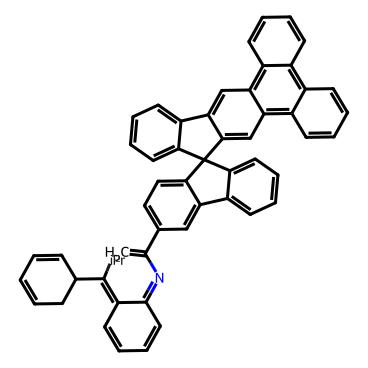 C=C(/N=C1/C=CC=C/C1=C(/C(C)C)C1C=CC=CC1)c1ccc2c(c1)-c1ccccc1C21c2ccccc2-c2cc3c4ccccc4c4ccccc4c3cc21